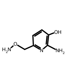 NOCc1ccc(O)c(N)n1